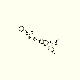 C[C@H]1CC[C@H](c2ccc3sc(C45CC(NC(=O)OCc6ccccc6)(C4)C5)nc3c2)N(C(=O)OC(C)(C)C)C1